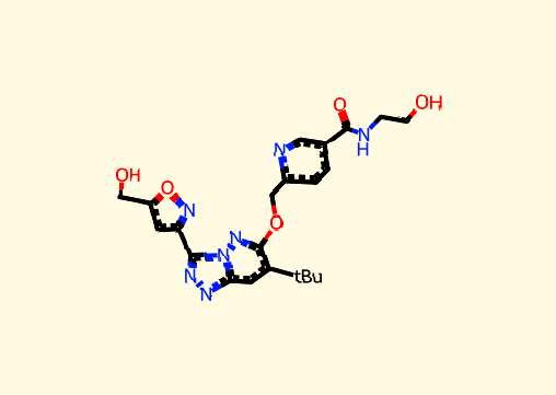 CC(C)(C)c1cc2nnc(-c3cc(CO)on3)n2nc1OCc1ccc(C(=O)NCCO)cn1